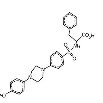 COc1ccc(N2CCN(c3ccc(S(=O)(=O)NC(Cc4ccccc4)C(=O)O)cc3)CC2)cc1